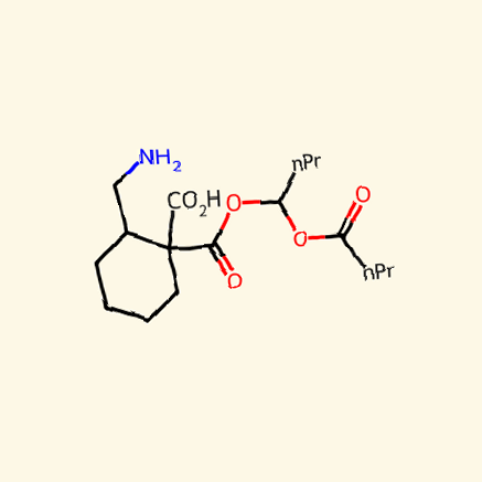 CCCC(=O)OC(CCC)OC(=O)C1(C(=O)O)CCCCC1CN